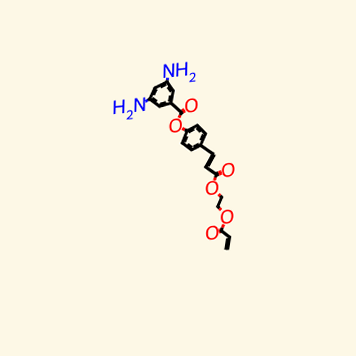 C=CC(=O)OCCOC(=O)/C=C/c1ccc(OC(=O)c2cc(N)cc(N)c2)cc1